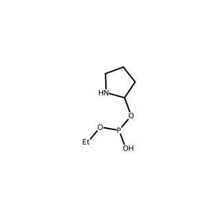 CCOP(O)OC1CCCN1